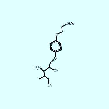 COCCOc1ccc(OCC(O)C(N)C(C)CC#N)cc1